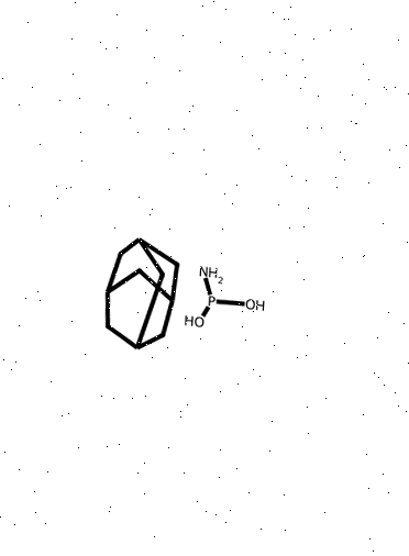 C1C2CC3CC1CC(C2)C3.NP(O)O